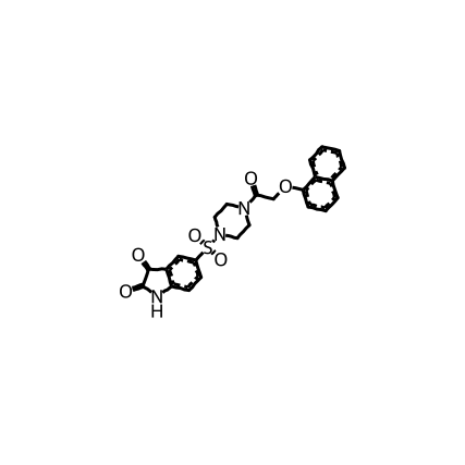 O=C1Nc2ccc(S(=O)(=O)N3CCN(C(=O)COc4cccc5ccccc45)CC3)cc2C1=O